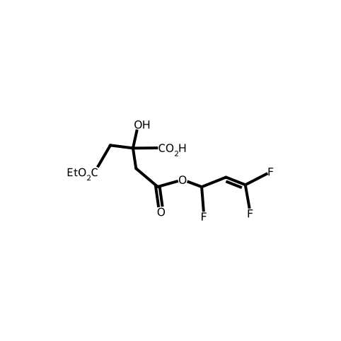 CCOC(=O)CC(O)(CC(=O)OC(F)C=C(F)F)C(=O)O